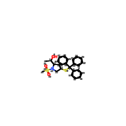 C[C@@H](O)C1C[C@@H](SC(c2ccccc2)(c2ccccc2)c2ccccc2)CN1S(C)(=O)=O